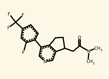 CN(C)C(=O)CC1CCc2c(-c3ccc(C(F)(F)F)cc3F)cncc21